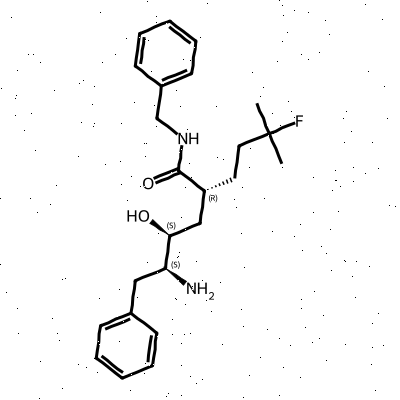 CC(C)(F)CC[C@H](C[C@H](O)[C@@H](N)Cc1ccccc1)C(=O)NCc1ccccc1